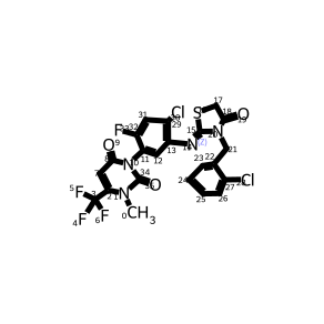 Cn1c(C(F)(F)F)cc(=O)n(-c2cc(/N=C3\SCC(=O)N3Cc3ccccc3Cl)c(Cl)cc2F)c1=O